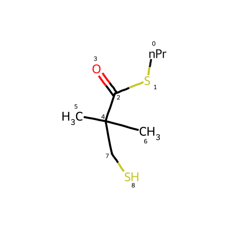 CCCSC(=O)C(C)(C)CS